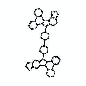 c1ccc2c(c1)c1ccccc1c1c2c2cc3sccc3cc2n1-c1ccc(-c2ccc(-n3c4ccc5ccsc5c4c4c5ccccc5c5ccccc5c43)cc2)cc1